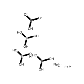 OB(O)O.OB(O)O.OB(O)O.[Ca+2].[Cl-].[Na+].[O-]B([O-])O